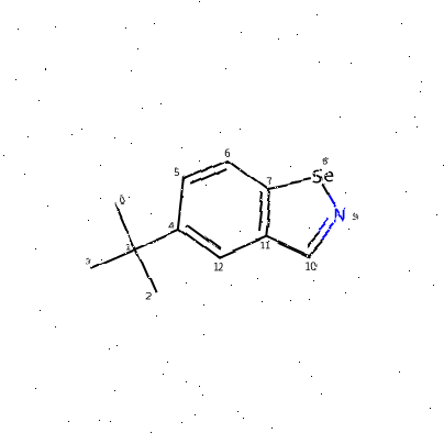 CC(C)(C)c1ccc2[se]ncc2c1